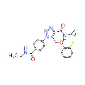 CCNC(=O)c1ccc(-n2nnc(C(=O)NC3CC3)c2COc2ccccc2F)cc1